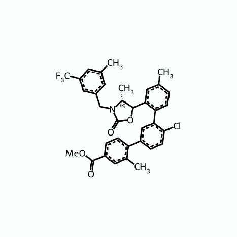 COC(=O)c1ccc(-c2ccc(Cl)c(-c3ccc(C)cc3C3OC(=O)N(Cc4cc(C)cc(C(F)(F)F)c4)[C@@H]3C)c2)c(C)c1